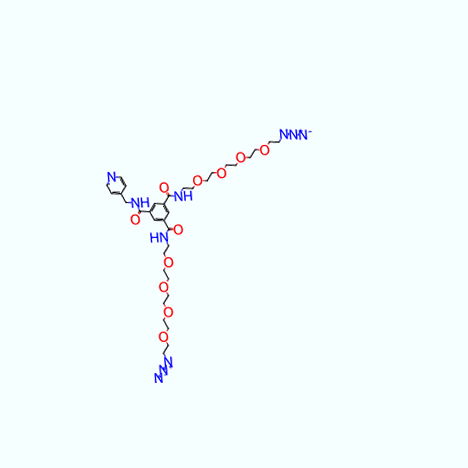 [N-]=[N+]=NCCOCCOCCOCCOCCNC(=O)c1cc(C(=O)NCCOCCOCCOCCOCCN=[N+]=[N-])cc(C(=O)NCc2ccncc2)c1